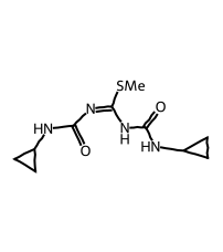 CSC(=NC(=O)NC1CC1)NC(=O)NC1CC1